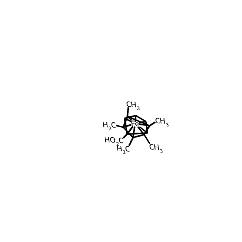 C[C]12[C]3(C)[C]4(C)[C]5(C)[C]1(C)[Fe]23451678[CH]2[CH]1[CH]6[C]7(C(=O)O)[CH]28